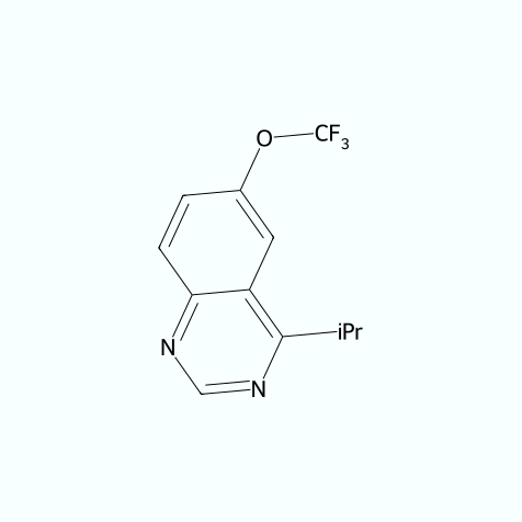 CC(C)c1ncnc2ccc(OC(F)(F)F)cc12